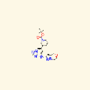 CC(C)(C)OC(=O)N1CCCC(c2cc(Nc3cc4n(n3)CCOC4)c3ncnn3c2)C1